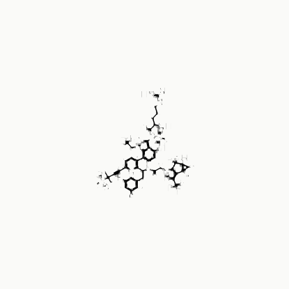 CC(C)(C#Cc1ccc(-c2ccc(Cl)c3c(N(C(=O)C(N)CCCNC(=N)N)S(C)(=O)=O)nn(CC(F)(F)F)c23)c(C(Cc2cc(F)cc(F)c2)NC(=O)Cn2nc(C(F)(F)F)c3c2C(F)(F)[C@@H]2C[C@H]32)n1)S(C)(=O)=O